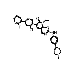 CCn1c(=O)c(-c2ccc(-c3cccnc3F)cc2Cl)cc2cnc(Nc3ccc(C4=CCN(C)CC4)cc3)nc21